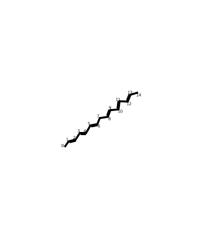 CC=CC=CC=CCC=CC=CC=CC